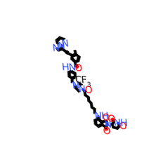 Cc1ccc(C(=O)Nc2ccc(CN3CCN(C(=O)CCCCCCCNc4cccc5c4C(=O)N(C4CCC(=O)NC4=O)C5=O)CC3)c(C(F)(F)F)c2)cc1C#Cc1cnc2cccnn12